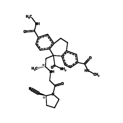 CNC(=O)c1ccc2c(c1)CCc1cc(C(=O)NC)ccc1C2(C[C@@H](C)NCC(=O)N1CCC[C@H]1C#N)C(N)=O